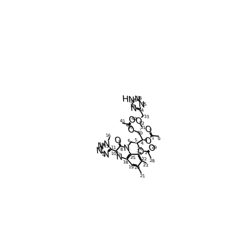 CC(=O)O[C@@H]([C@H](Cn1c(=O)c(-c2nnnn2C)nc2cc(C)c(C)cc21)OC(C)=O)[C@@H](COCc1nn[nH]n1)OC(C)=O